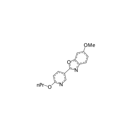 CCCOc1ccc(-c2nc3ccc(OC)cc3o2)cn1